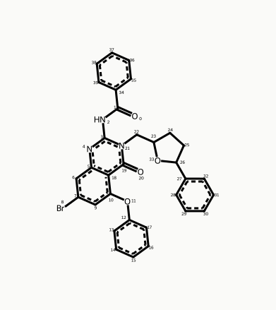 O=C(Nc1nc2cc(Br)cc(Oc3ccccc3)c2c(=O)n1CC1CCC(c2ccccc2)O1)c1ccccc1